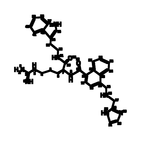 N=C(N)NCCC[C@H](NC(=O)c1ccc(CNCc2ncc[nH]2)c2ccccc12)C(=O)NCCc1c[nH]c2ccccc12